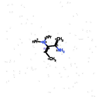 C=C(N)/C(=C\C)N(CCC)CCC